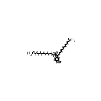 CCCCCCCCCCCCOS(=O)(=O)C(CCCCCCCCCCCC)c1ccccc1.[Na]